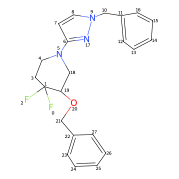 FC1(F)CCN(c2ccn(Cc3ccccc3)n2)CC1OCc1ccccc1